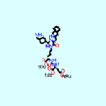 CC(C)(C)OC(=O)CC[C@H](NC(=O)N[C@@H](CCCCNC(=O)[C@H](Cc1cc2ccccc2cn1)NC(=O)C1CCC(CN)CC1)C(=O)OC(C)(C)C)C(=O)OC(C)(C)C